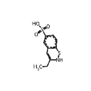 CCC1=Cc2cc(S(=O)(=O)O)ccc2SN1